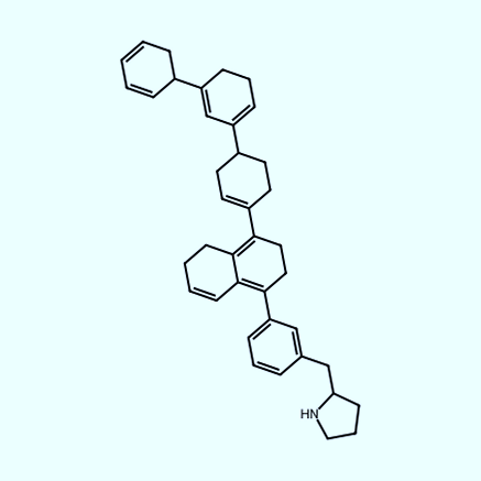 C1=CCC(C2=CC(C3CC=C(C4=C5CCC=CC5=C(c5cccc(CC6CCCN6)c5)CC4)CC3)=CCC2)C=C1